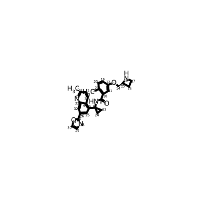 Cc1ccc2c(C3(NC(=O)c4cc(OC[C@@H]5CCN5)ccc4C)CC3)cc(-c3ncco3)cc2n1